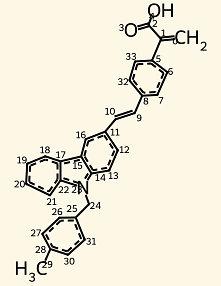 C=C(C(=O)O)c1ccc(C=Cc2ccc3c(c2)c2ccccc2n3Cc2ccc(C)cc2)cc1